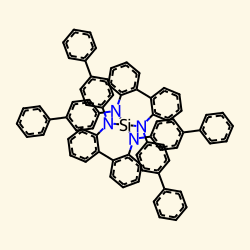 c1ccc(-c2ccc(N3c4ccccc4-c4ccccc4N(c4ccc(-c5ccccc5)cc4)[Si]34N(c3ccc(-c5ccccc5)cc3)c3ccccc3-c3ccccc3N4c3ccc(-c4ccccc4)cc3)cc2)cc1